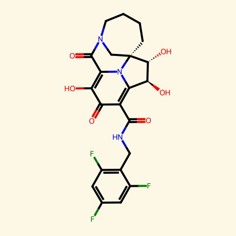 O=C(NCc1c(F)cc(F)cc1F)c1c2n3c(c(O)c1=O)C(=O)N1CCCC[C@]3(C1)[C@H](O)[C@H]2O